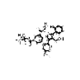 COC(=O)[C@@H]1C[C@H](N(CC(C)C)C(=O)c2nnn(-c3ccccc3F)c2CO)CN(C(=O)OC(C)(C)C)C1